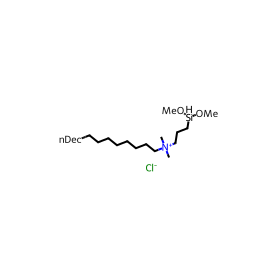 CCCCCCCCCCCCCCCCCC[N+](C)(C)CCC[SiH](OC)OC.[Cl-]